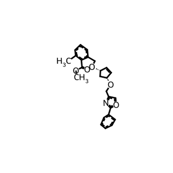 COC(=O)c1c(C)cccc1CO[C@@H]1C=C[C@H](OCc2coc(-c3ccccc3)n2)C1